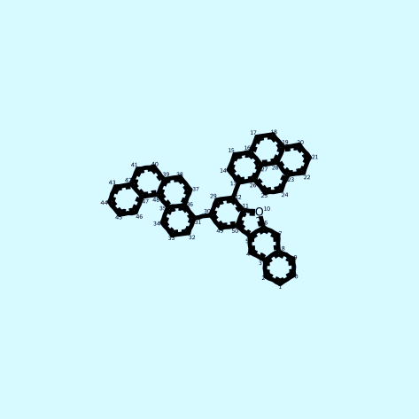 c1ccc2cc3c(cc2c1)oc1c(-c2ccc4ccc5cccc6ccc2c4c56)cc(-c2cccc4c2ccc2ccc5ccccc5c24)cc13